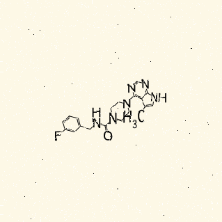 Cc1c[nH]c2ncnc(N3CCN(C(=O)NCc4cccc(F)c4)CC3)c12